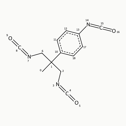 CC(CN=C=O)(CN=C=O)c1ccc(N=C=O)cc1